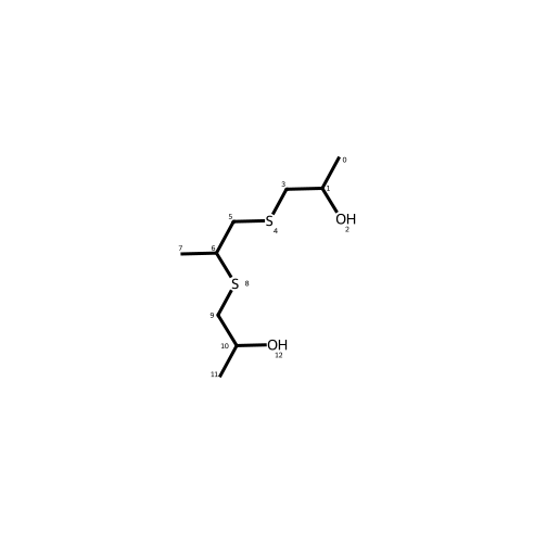 CC(O)CSCC(C)SCC(C)O